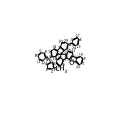 Cc1cccc(N(c2ccccc2)c2ccc3c(c2)C2(c4cc(-c5ccccc5)ccc4-3)c3ccccc3-c3c2ccc2c3oc3ccccc32)c1